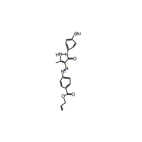 C=CCOC(=O)c1ccc(/N=N/c2c(C)[nH]n(-c3ccc(C(C)(C)C)cc3)c2=O)cc1